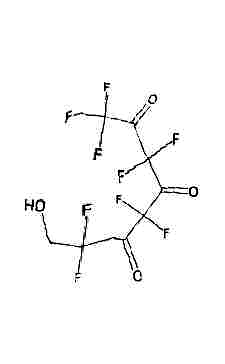 O=C(C(F)(F)F)C(F)(F)C(=O)C(F)(F)C(=O)C(F)(F)CO